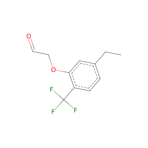 CCc1ccc(C(F)(F)F)c(OCC=O)c1